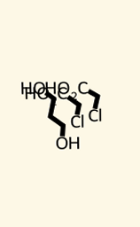 O=C(O)CCl.O=C(O)CCl.OCCCO